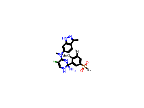 [2H]c1cc(S(=O)(=O)CC)cc(C2(N)N=C(N(C)c3ccc4c(C)n[nH]c4c3)C(F)=CN2)c1OC